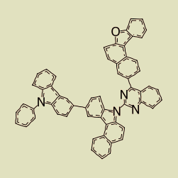 c1ccc(-n2c3ccccc3c3cc(-c4ccc5c(c4)c4c6ccccc6ccc4n5-c4nc(-c5ccc6c(ccc7oc8ccccc8c76)c5)c5ccccc5n4)ccc32)cc1